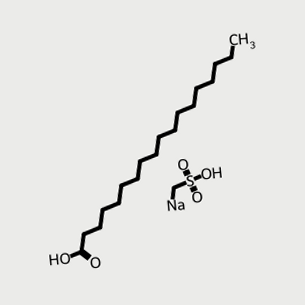 CCCCCCCCCCCCCCCCCC(=O)O.O=S(=O)(O)[CH2][Na]